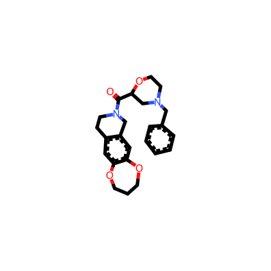 O=C(C1CN(Cc2ccccc2)CCO1)N1CCc2cc3c(cc2C1)OCCCO3